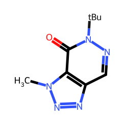 Cn1nnc2cnn(C(C)(C)C)c(=O)c21